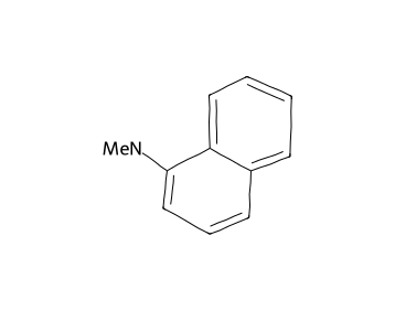 [CH2]Nc1cccc2ccccc12